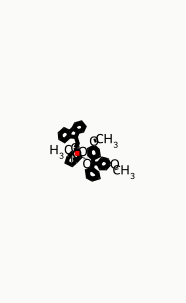 COc1ccc(C(OC[C@H]2O[C@@H](C)C3CCC2N3C(=O)OCC2c3ccccc3-c3ccccc32)(c2ccccc2)c2ccc(OC)cc2)cc1